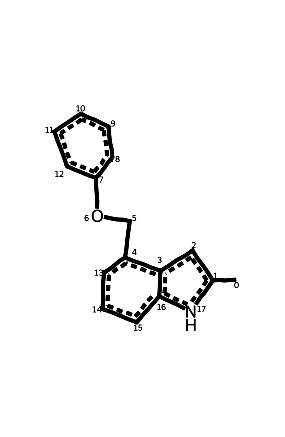 Cc1cc2c(COc3[c]cccc3)cccc2[nH]1